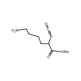 COC(=O)C(CCCCN)N=C=O